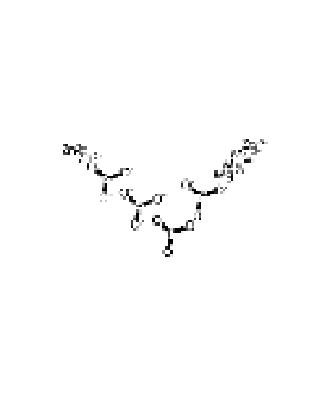 [Mg+2].[Mg+2].[Mg+2].[O-]P([O-])[O-].[O-]P([O-])[O-].[O-]P([O-])[O-].[O-]P([O-])[O-].[Zn+2].[Zn+2].[Zn+2]